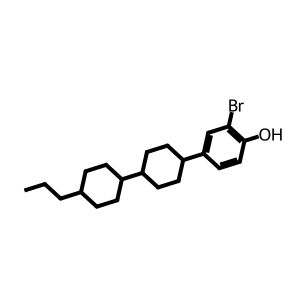 CCCC1CCC(C2CCC(c3ccc(O)c(Br)c3)CC2)CC1